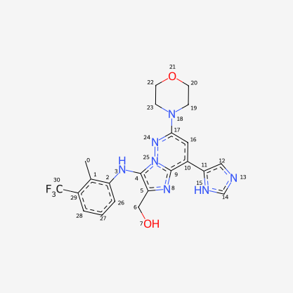 Cc1c(Nc2c(CO)nc3c(-c4cnc[nH]4)cc(N4CCOCC4)nn23)cccc1C(F)(F)F